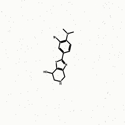 CN(C)c1ccc(-c2nc3c(s2)C(O)CNC3)cc1Br